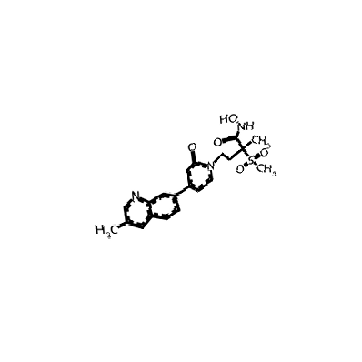 Cc1cnc2cc(-c3ccn(CCC(C)(C(=O)NO)S(C)(=O)=O)c(=O)c3)ccc2c1